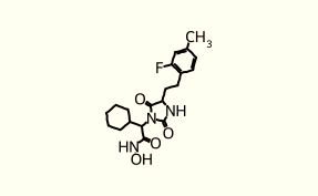 Cc1ccc(CCC2NC(=O)N(C(C(=O)NO)C3CCCCC3)C2=O)c(F)c1